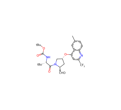 Cc1ccc2nc(C(F)(F)F)cc(O[C@@H]3C[C@@H](C=O)N(C(=O)[C@@H](NC(=O)OC(C)(C)C)C(C)(C)C)C3)c2c1